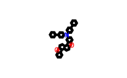 c1ccc(-c2ccc(N(c3ccc(-c4ccccc4)cc3)c3ccc4oc5ccc6c(ccc7oc8ccccc8c76)c5c4c3)cc2)cc1